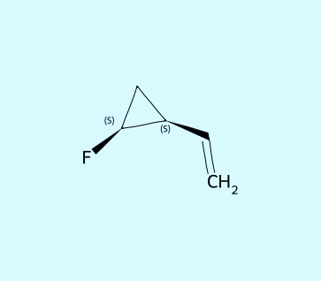 C=C[C@@H]1C[C@@H]1F